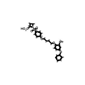 CCCc1cc(Oc2ccccc2)ccc1OCCCCOc1ccc(S(=O)(=O)N2CCC2C(=O)O)cc1